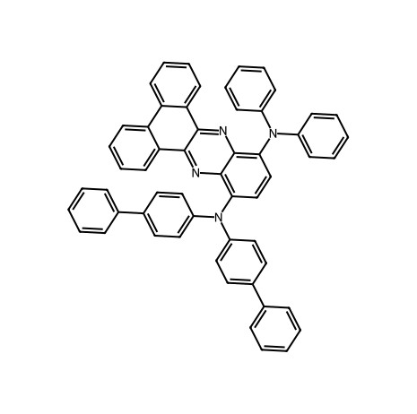 c1ccc(-c2ccc(N(c3ccc(-c4ccccc4)cc3)c3ccc(N(c4ccccc4)c4ccccc4)c4nc5c6ccccc6c6ccccc6c5nc34)cc2)cc1